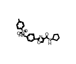 Cc1ccc(S(=O)(=O)Nc2ccc(-c3nc(C(=O)NC4CCCC4)co3)cc2)cc1